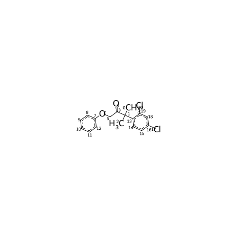 CC(C)(C(=O)COc1ccccc1)c1ccc(Cl)cc1Cl